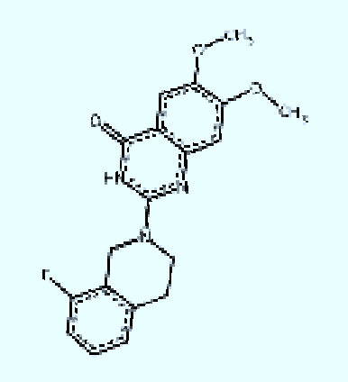 COc1cc2nc(N3CCc4cccc(F)c4C3)[nH]c(=O)c2cc1OC